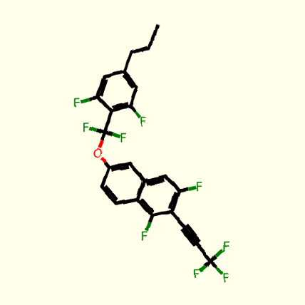 CCCc1cc(F)c(C(F)(F)Oc2ccc3c(F)c(C#CC(F)(F)F)c(F)cc3c2)c(F)c1